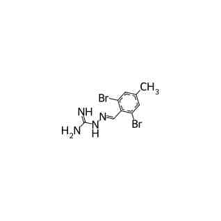 Cc1cc(Br)c(C=NNC(=N)N)c(Br)c1